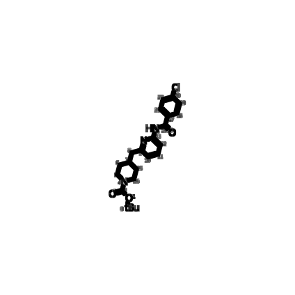 CC(C)(C)OC(=O)N1CCC(Cc2cccc(NC(=O)c3ccc(Cl)cc3)n2)CC1